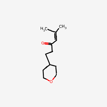 CC(C)=CC(=O)CCC1CCOCC1